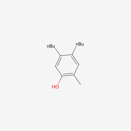 CCCCc1cc(C)c(O)cc1CCCC